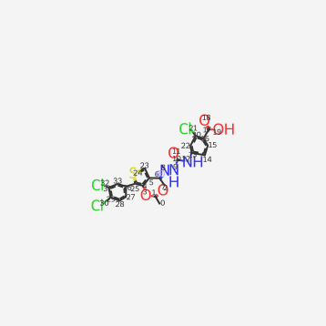 CC(=O)Oc1c(/C(C)=N/NC(=O)Nc2ccc(C(=O)O)c(Cl)c2)csc1-c1ccc(Cl)c(Cl)c1